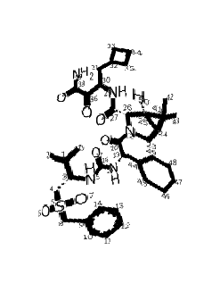 CC(C)[C@@H](CS(=O)(=O)Cc1ccccc1)NC(=O)N[C@H](C(=O)N1CC2[C@@H]([C@H]1C(=O)NC(CC1CCC1)C(=O)C(N)=O)C2(C)C)C1CCCCC1